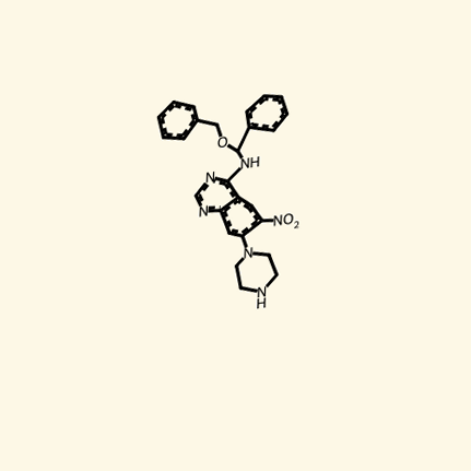 O=[N+]([O-])c1cc2c(NC(OCc3ccccc3)c3ccccc3)ncnc2cc1N1CCNCC1